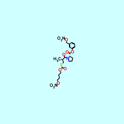 C[C@H](CSC(=O)OCCCCO[N+](=O)[O-])C(=O)N1CCC[C@H]1C(=O)Oc1cccc(CO[N+](=O)[O-])c1